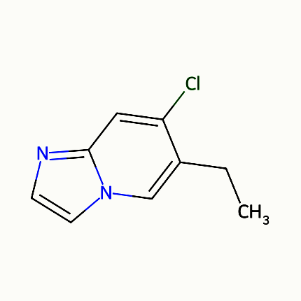 CCc1cn2ccnc2cc1Cl